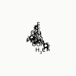 Cc1cc(CNC(=O)c2nc3n(c(=O)c2O)CC2(F)CCC3(NC(=O)C(=O)N3CC[C@@H](F)C3)CC2)ccc1F